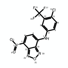 O=[N+]([O-])c1ccc(Nc2ccc(Cl)c(C(F)(F)F)c2)c2nonc12